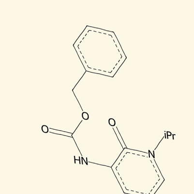 CC(C)n1cccc(NC(=O)OCc2ccccc2)c1=O